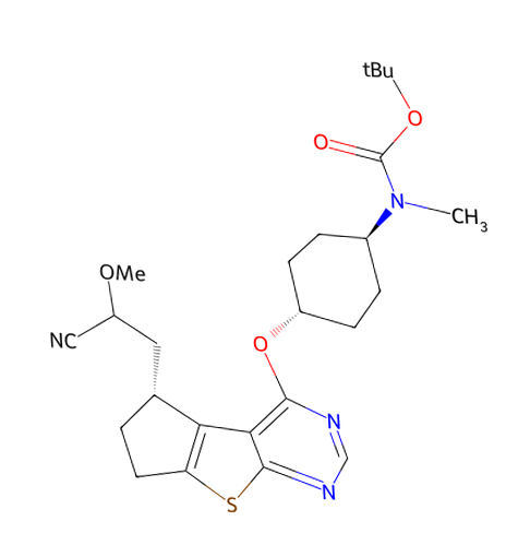 COC(C#N)C[C@H]1CCc2sc3ncnc(O[C@H]4CC[C@H](N(C)C(=O)OC(C)(C)C)CC4)c3c21